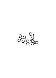 c1ccc(C2(c3cccc(-c4ccc(N(c5ccc6sc7ccccc7c6c5)c5cccc6c5sc5ccccc56)c5ccccc45)c3)c3ccccc3-c3ccccc32)cc1